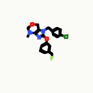 CN1COCc2c1nc(Oc1cccc(CF)c1)n2Cc1ccc(Cl)cc1